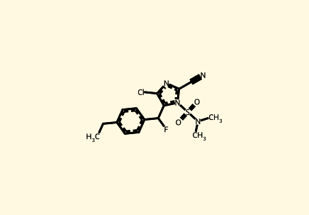 CCc1ccc(C(F)c2c(Cl)nc(C#N)n2S(=O)(=O)N(C)C)cc1